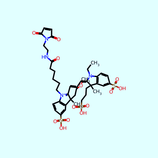 CCN1/C(=C/C=C/C2=[N+](CCCCCC(=O)NCCN3C(=O)C=CC3=O)c3ccc(S(=O)(=O)O)cc3C2(C)CCOC)C(C)(CCCS(=O)(=O)O)c2cc(S(=O)(=O)O)ccc21